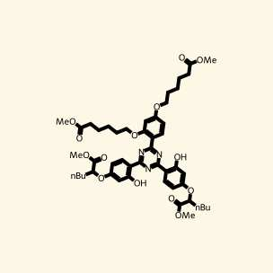 CCCCC(Oc1ccc(-c2nc(-c3ccc(OC(CCCC)C(=O)OC)cc3O)nc(-c3ccc(OCCCCCC(=O)OC)cc3OCCCCCC(=O)OC)n2)c(O)c1)C(=O)OC